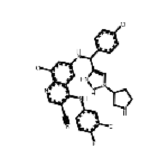 N#Cc1cnc2c(Cl)cc(NC(C3=CN(C4CCNC4)NN3)c3ccc(Cl)cc3)cc2c1Nc1ccc(F)c(Cl)c1